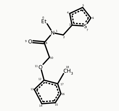 CCN(Cc1cccs1)C(=O)COc1ccccc1C